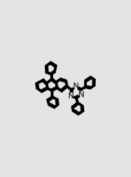 c1ccc(-c2nc(-c3ccccc3)nc(-c3ccc4c(-c5ccccc5)c5ccccc5c(-c5ccccc5)c4c3)n2)cc1